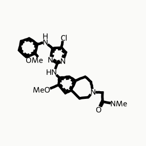 CNC(=O)CN1CCc2cc(Nc3ncc(Cl)c(Nc4ccccc4OC)n3)c(OC)cc2CC1